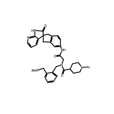 CNCc1ccccc1CN(CC(=O)Nc1ccc2c(c1)CC1(C2)C(=O)Nc2ncccc21)C(=O)C1CCN(C(C)=O)CC1